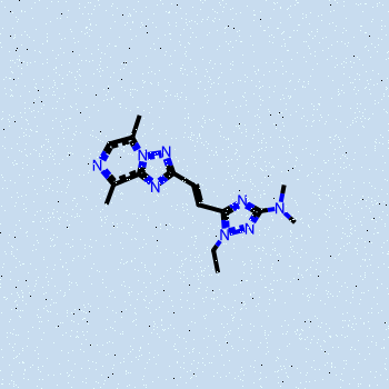 CCn1nc(N(C)C)nc1C=Cc1nc2c(C)ncc(C)n2n1